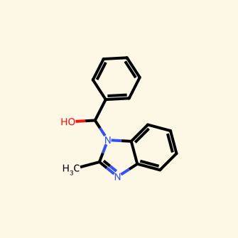 Cc1nc2ccccc2n1C(O)c1ccccc1